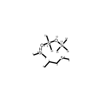 CCCSC.C[SiH](C)O[Si](C)(C)O[Si](C)(C)C